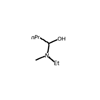 CCCC(O)N(C)CC